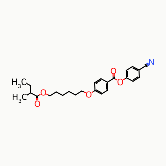 CCC(C)C(=O)OCCCCCCOc1ccc(C(=O)Oc2ccc(C#N)cc2)cc1